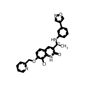 C[C@H](Nc1cccc(-c2cnoc2)c1)c1cc2ccc(OCc3ccccn3)c(Cl)c2[nH]c1=O